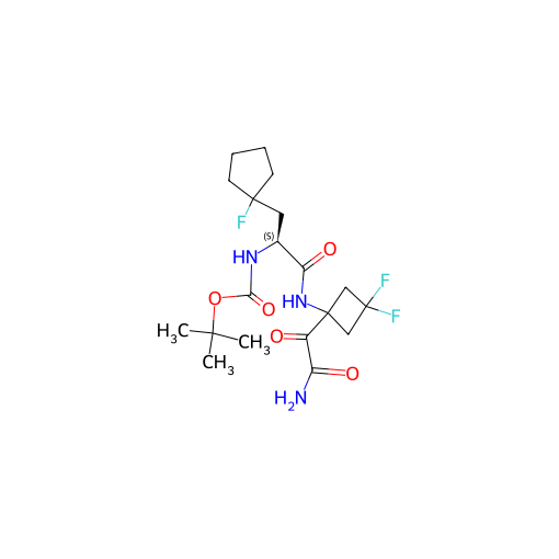 CC(C)(C)OC(=O)N[C@@H](CC1(F)CCCC1)C(=O)NC1(C(=O)C(N)=O)CC(F)(F)C1